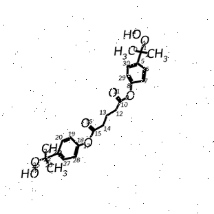 CC(C)(OO)c1ccc(OC(=O)CCCC(=O)Oc2ccc(C(C)(C)OO)cc2)cc1